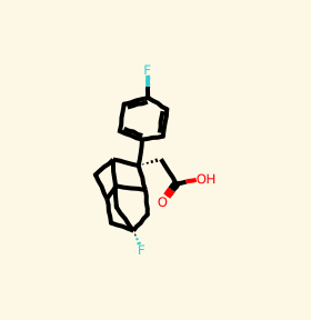 O=C(O)C[C@]1(c2ccc(F)cc2)C2CC3CC1C[C@](F)(C3)C2